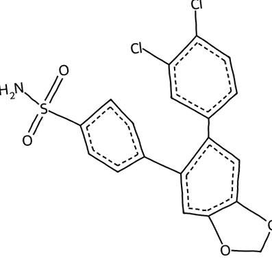 NS(=O)(=O)c1ccc(-c2cc3c(cc2-c2ccc(Cl)c(Cl)c2)OCO3)cc1